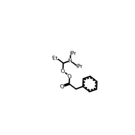 CCC(OOC(=O)Cc1ccccc1)N(C(C)C)C(C)C